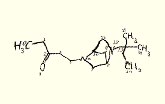 CCC(=O)CCN1CC2CC1CN2C(C)(C)C